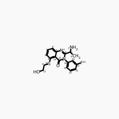 CC(N)c1nc2cccc(SCCO)c2c(=O)n1-c1cccc(F)c1